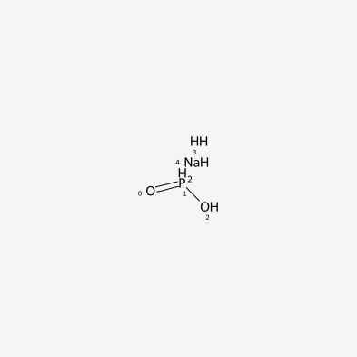 O=[PH2]O.[HH].[NaH]